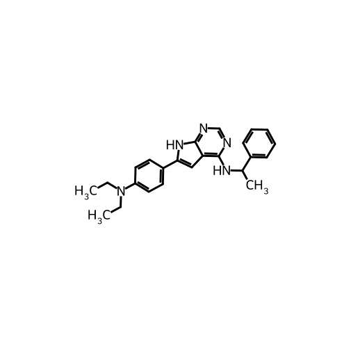 CCN(CC)c1ccc(-c2cc3c(NC(C)c4ccccc4)ncnc3[nH]2)cc1